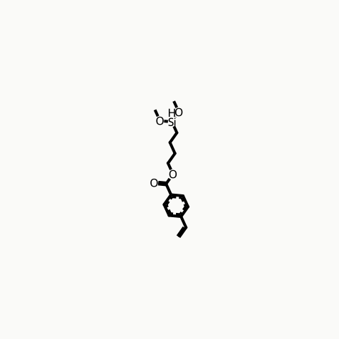 C=Cc1ccc(C(=O)OCCCC[SiH](OC)OC)cc1